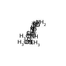 COc1ccc(-c2[nH]c3ccc(-c4nnc(CN5CCC[C@H]5C(N)=O)o4)cc3c2C(C)C)cc1OC